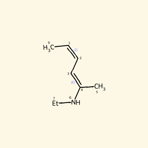 C/C=C\C=C(/C)NCC